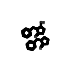 O=C1CCC(O)C1Cc1ccccc1.O=C1CCCC1Cc1ccccc1